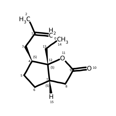 C=C(C)C[C@@H]1CC[C@H]2CC(=O)O[C@@]12CC